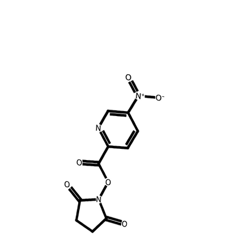 O=C(ON1C(=O)CCC1=O)c1ccc([N+](=O)[O-])cn1